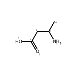 C[C](N)CC(=O)O